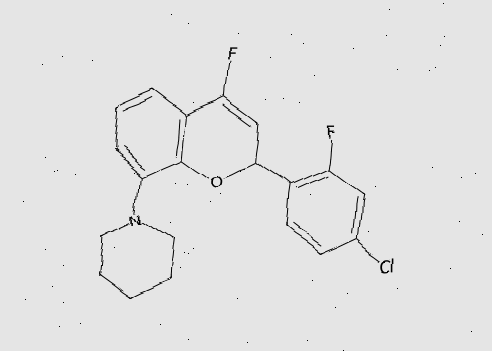 FC1=CC(c2ccc(Cl)cc2F)Oc2c1cccc2N1CCCCC1